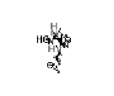 C[S+]([O-])CCCNc1nonc1/C(N)=N/O